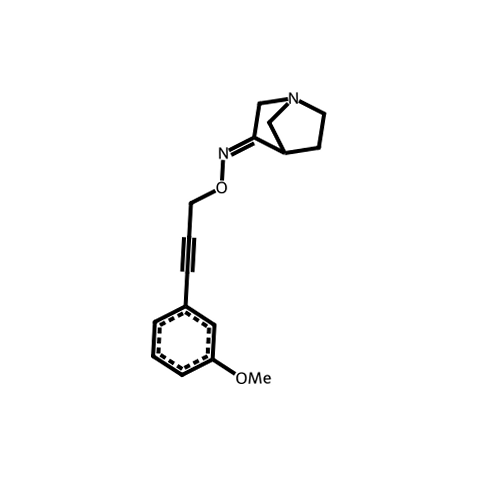 COc1cccc(C#CCO/N=C2/CN3CCC2C3)c1